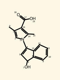 Cc1cn(C2=CC(O)c3ccccc32)c(C)c1C(=O)O